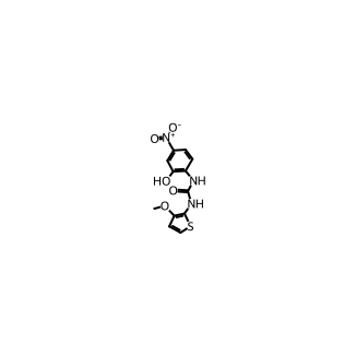 COc1ccsc1NC(=O)Nc1ccc([N+](=O)[O-])cc1O